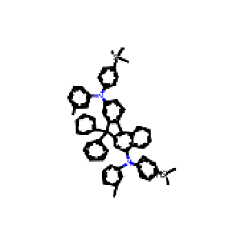 Cc1cccc(N(c2ccc([Si](C)(C)C)cc2)c2ccc3c(c2)C(c2ccccc2)(c2ccccc2)c2cc(N(c4ccc([SiH](C)C)cc4)c4cccc(C)c4)c4ccccc4c2-3)c1